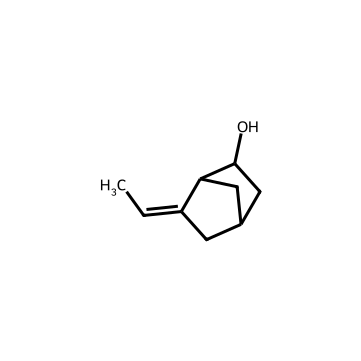 CC=C1CC2CC(O)C1C2